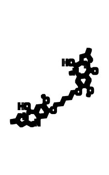 C=C1CC2C(O)N(C)c3cc(OCCCCCOc4cc5c(cc4OC)C(O)N4CC(=C)CC4C=N5)c(OC)cc3C(=O)N2C1